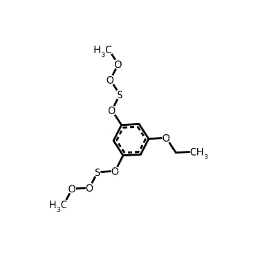 CCOc1cc(OSOOC)cc(OSOOC)c1